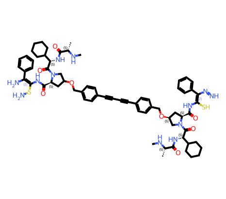 CN[C@@H](C)C(=O)N[C@H](C(=O)N1C[C@@H](OCc2ccc(C#CC#Cc3ccc(COC4C[C@@H](C(=O)N/C(SN)=C(/N)c5ccccc5)N(C(=O)[C@@H](NC(=O)[C@H](C)NC)C5CCCCC5)C4)cc3)cc2)C[C@H]1C(=O)N/C(S)=C(/N=N)c1ccccc1)C1CCCCC1